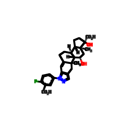 C[C@]12Cc3cnn(-c4ccc(F)c(C(=O)O)c4)c3C=C1CC[C@@H]1[C@@H]2[C@@H](O)C[C@@]2(C)[C@H]1CC[C@]2(O)C(=O)O